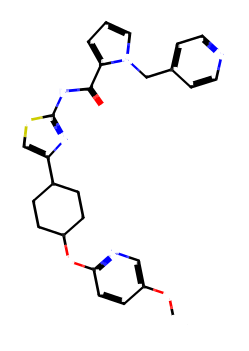 COc1ccc(OC2CCC(c3csc(NC(=O)c4cccn4Cc4ccncc4)n3)CC2)nc1